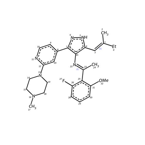 CC/C(C)=C/c1[nH]nc(-c2ccnc(N3CCN(C)CC3)c2)c1/N=C(\C)c1c(F)cccc1OC